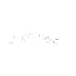 C[C@H]1CN(C(=O)C2CCC(NC(=O)c3ccc(-c4cccc(F)c4)nc3)CC2)CCN1C(=O)O